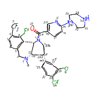 CN(Cc1ccc(C(F)(F)F)c(F)c1)[C@@H]1CN(C(=O)c2ccc(N3CCNCC3)nc2)C[C@@H]1c1ccc(Cl)c(Cl)c1